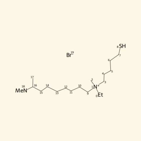 CC[N+](C)(CCCCCS)CCCCCCCC(C)NC.[Br-]